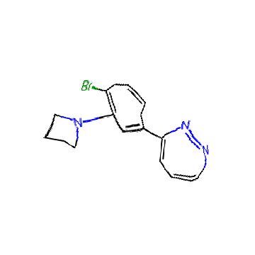 Brc1ccc(-c2cccnn2)cc1N1CCC1